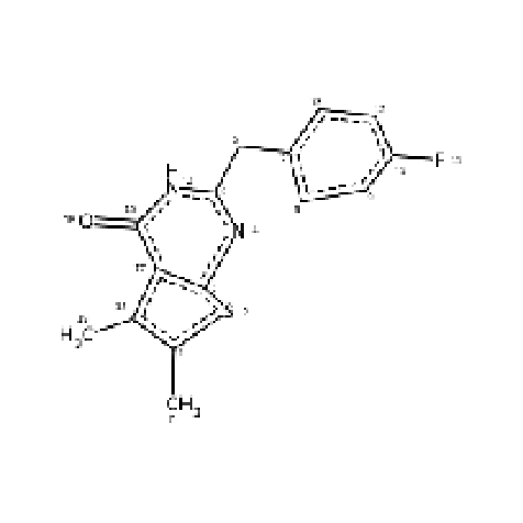 Cc1sc2nc(Cc3ccc(F)cc3)[nH]c(=O)c2c1C